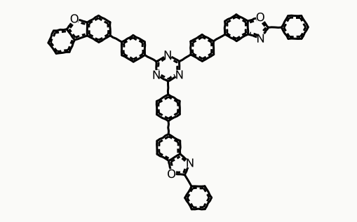 c1ccc(-c2nc3cc(-c4ccc(-c5nc(-c6ccc(-c7ccc8oc(-c9ccccc9)nc8c7)cc6)nc(-c6ccc(-c7ccc8oc9ccccc9c8c7)cc6)n5)cc4)ccc3o2)cc1